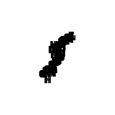 O=C1CCc2c(Oc3ccc4c(c3)[C@H]3C(NC(=O)Nc5ccc(OC(F)(F)F)cc5)[C@H]3O4)ccnc2N1